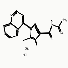 Cc1c(C(=O)NC(=N)N)cn(-c2ccnc3ccccc23)c1C.Cl.Cl